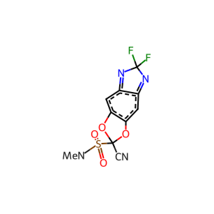 CNS(=O)(=O)C1(C#N)Oc2cc3c(cc2O1)=NC(F)(F)N=3